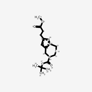 COC(=O)CCc1cc2n(n1)CCCN(C(=O)OC(C)(C)C)C2